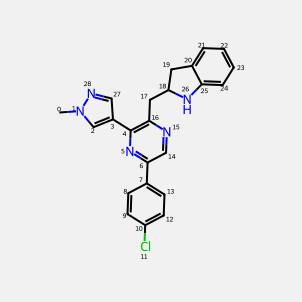 Cn1cc(-c2nc(-c3ccc(Cl)cc3)cnc2CC2Cc3ccccc3N2)cn1